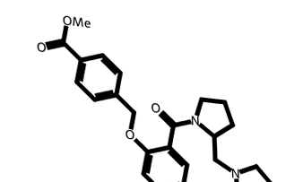 COC(=O)c1ccc(COc2ccccc2C(=O)N2CCCC2CN2CCCC2)cc1